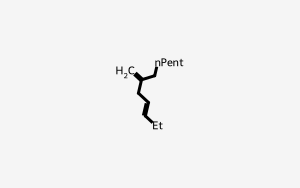 C=C(CC=CCC)CCCCCC